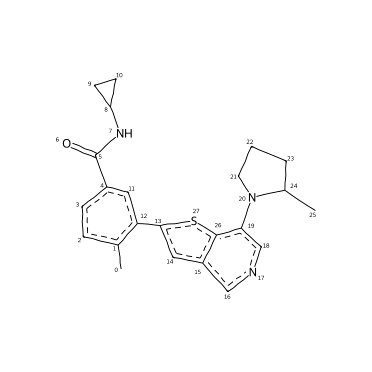 Cc1ccc(C(=O)NC2CC2)cc1-c1cc2cncc(N3CCCC3C)c2s1